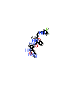 CC(=O)/C(=C\C=C/NCc1ccc(F)c(F)c1)C(=O)N[C@@H](C(=O)Nc1ccc2c(c1)/C(=C/c1cnc[nH]1)C(=O)N2)c1ccccc1